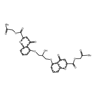 CC(C)(C)C(=O)COC(=O)c1cc(=O)c2c(OCC(O)COc3cccc4oc(C(=O)OCC(=O)C(C)(C)C)cc(=O)c34)cccc2o1